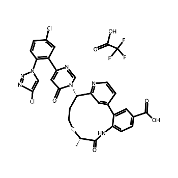 C[C@@H]1CCC[C@H](n2cnc(-c3cc(Cl)ccc3-n3cc(Cl)nn3)cc2=O)c2cc(ccn2)-c2cc(C(=O)O)ccc2NC1=O.O=C(O)C(F)(F)F